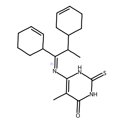 Cc1c(/N=C(/C2C=CCCC2)C(C)C2CC=CCC2)[nH]c(=S)[nH]c1=O